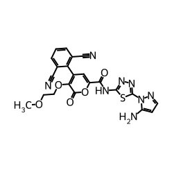 COCCOc1c(-c2c(C#N)cccc2C#N)cc(C(=O)Nc2nnc(-n3nccc3N)s2)oc1=O